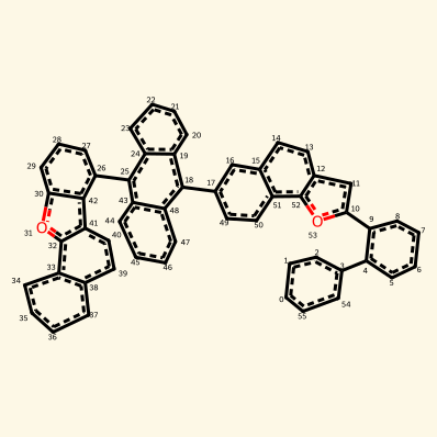 c1ccc(-c2ccccc2-c2cc3ccc4cc(-c5c6ccccc6c(-c6cccc7oc8c9ccccc9ccc8c67)c6ccccc56)ccc4c3o2)cc1